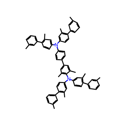 Cc1cccc(-c2ccc(N(c3ccc(-c4cc(C)c(N(c5ccc(-c6cccc(C)c6)c(C)c5)c5ccc(-c6cccc(C)c6)c(C)c5)c(C)c4)cc3)c3ccc(-c4cccc(C)c4)c(C)c3)cc2C)c1